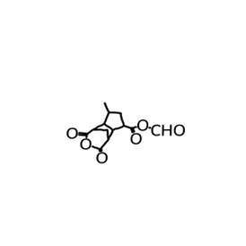 CC1CC(C(=O)OC=O)C2C3CC(C(=O)OC3=O)C12